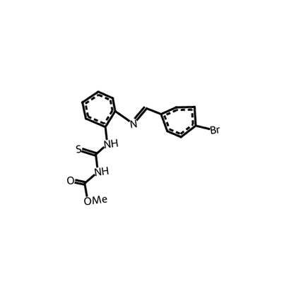 COC(=O)NC(=S)Nc1ccccc1N=Cc1ccc(Br)cc1